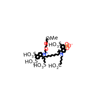 COCCOCCOCC[N+]1=C(/C=C/C=C/C=C/C=C2/N(CCCCCC(=O)O)c3ccc4c(S(=O)(=O)[O-])cc(S(=O)(=O)O)cc4c3C2(C)C)C(C)(CCCS(=O)(=O)O)c2c1ccc1c(S(=O)(=O)O)cc(S(=O)(=O)O)cc21